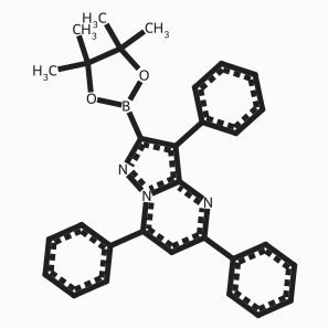 CC1(C)OB(c2nn3c(-c4ccccc4)cc(-c4ccccc4)nc3c2-c2ccccc2)OC1(C)C